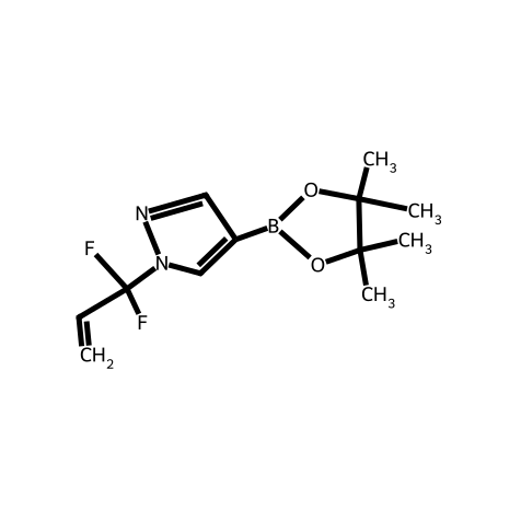 C=CC(F)(F)n1cc(B2OC(C)(C)C(C)(C)O2)cn1